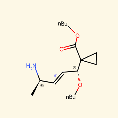 CCCCOC(=O)C1([C@@H](/C=C/[C@@H](C)N)OCCCC)CC1